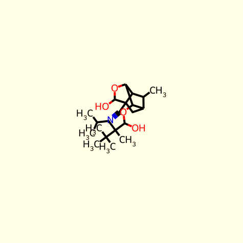 CC(C)CC(C)(C(O)OC1C2CC3(C#N)C(O)OC1C3C2C)C(C)(C)C